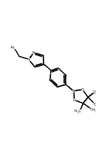 CC(=O)Cn1cc(-c2ccc(B3OC(C)(C)C(C)(C)O3)cc2)cn1